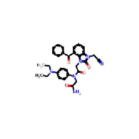 CCN(CC)c1ccc(N(CC(N)=O)C(=O)Cn2c(=O)n(CC#N)c3cccc(C(=O)c4ccccc4)c32)cc1